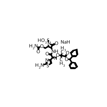 CC(C)(O/N=C(\C(=O)NC1C(=O)N(S(=O)(=O)O)C1COC(N)=O)c1csc(N)n1)C(=O)OC(c1ccccc1)c1ccccc1.[NaH]